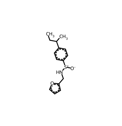 CCC(C)c1ccc([S+]([O-])NCc2ccco2)cc1